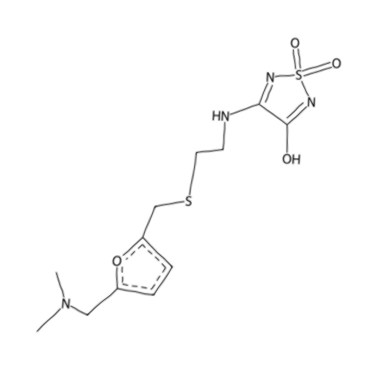 CN(C)Cc1ccc(CSCCNC2=NS(=O)(=O)N=C2O)o1